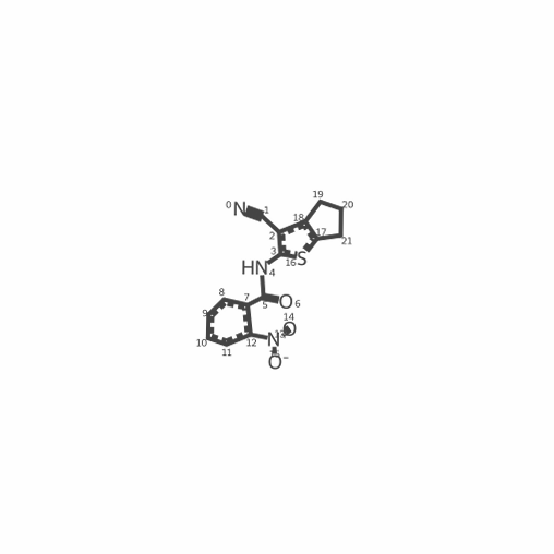 N#Cc1c(NC(=O)c2ccccc2[N+](=O)[O-])sc2c1CCC2